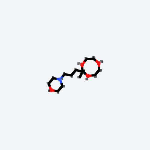 C[Si]1(CCCN2CCOCC2)OCCOCCO1